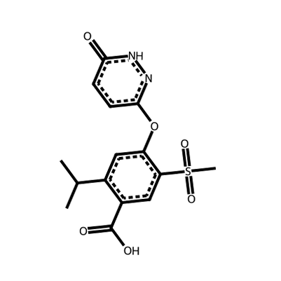 CC(C)c1cc(Oc2ccc(=O)[nH]n2)c(S(C)(=O)=O)cc1C(=O)O